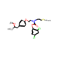 CCCCCSCCN(CCOc1ccc(CC(OCC)C(=O)O)cc1)C(=O)Oc1ccc(Cl)cc1Cl